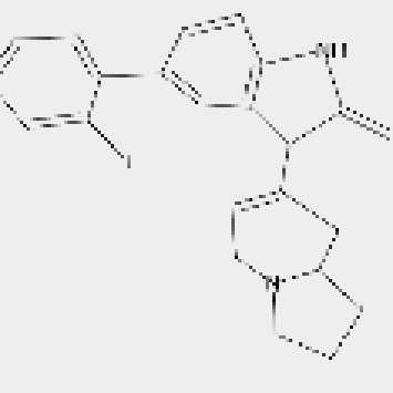 S=C1Nc2ccc(-c3ccccc3I)cc2C1C1=CCN2CCCC2C1